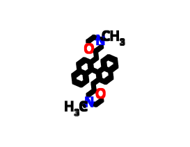 CN1CCOC(Cc2ccc3ccccc3c2-c2c(CC3CN(C)CCO3)ccc3ccccc23)C1